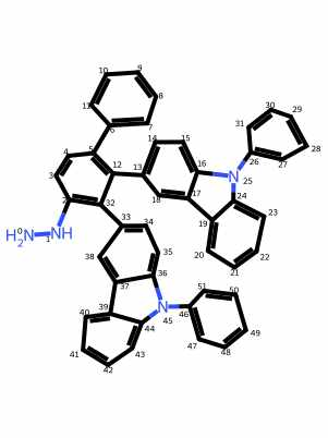 NNc1ccc(-c2ccccc2)c(-c2ccc3c(c2)c2ccccc2n3-c2ccccc2)c1-c1ccc2c(c1)c1ccccc1n2-c1ccccc1